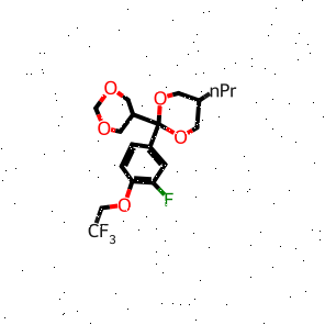 CCCC1COC(c2ccc(OCC(F)(F)F)c(F)c2)(C2COCOC2)OC1